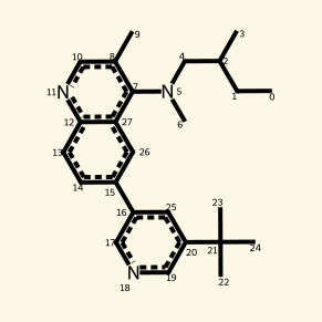 CCC(C)CN(C)c1c(C)cnc2ccc(-c3cncc(C(C)(C)C)c3)cc12